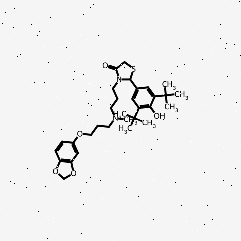 CN(CCCOc1ccc2c(c1)OCO2)CCCN1C(=O)CSC1c1cc(C(C)(C)C)c(O)c(C(C)(C)C)c1